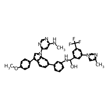 CNc1cc(-n2cc(-c3ccc(OC)cc3)c3ccc(-c4cccc(NC(O)c5cc(-n6cnc(C)c6)cc(C(F)(F)F)c5)c4)cc32)ncn1